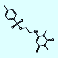 Cc1ccc(S(=O)(=O)OCCNc2cc(=O)n(C)c(=O)n2C)cc1